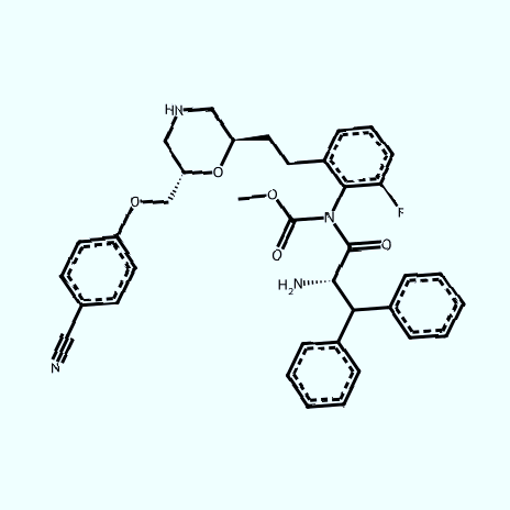 COC(=O)N(C(=O)[C@@H](N)C(c1ccccc1)c1ccccc1)c1c(F)cccc1CC[C@@H]1CNC[C@@H](COc2ccc(C#N)cc2)O1